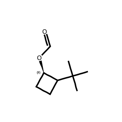 CC(C)(C)C1CC[C@H]1OC=O